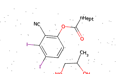 CC(O)CO.CCCCCCCC(=O)Oc1ccc(I)c(I)c1C#N